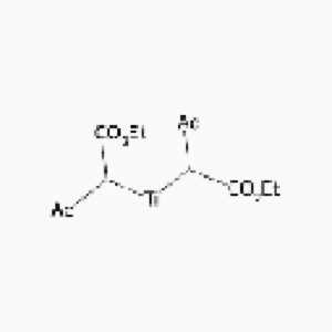 CCOC(=O)[CH]([Ti][CH](C(C)=O)C(=O)OCC)C(C)=O